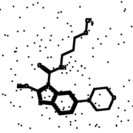 COc1nc2ccc(N3CCOCC3)cc2n1C(=O)NCCCOC(F)(F)F